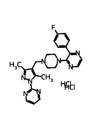 Cc1nn(-c2ncccn2)c(C)c1CN1CCN(c2nccnc2-c2ccc(F)cc2)CC1.Cl.Cl